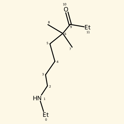 CCNCCCCC(C)(C)C(=O)CC